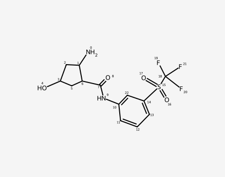 NC1CC(O)CC1C(=O)Nc1cccc(S(=O)(=O)C(F)(F)F)c1